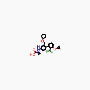 O=C(O)C1(Nc2ccc(-c3cccc(OC4CC4)c3C(F)F)c(COC3CCCC3)c2)CC1